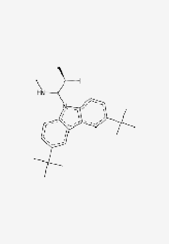 CNC([C@@H](C)I)n1c2ccc(C(C)(C)C)cc2c2cc(C(C)(C)C)ccc21